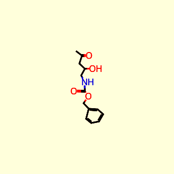 CC(=O)CC(O)CNC(=O)OCc1ccccc1